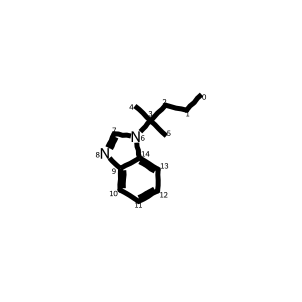 CCCC(C)(C)n1cnc2ccccc21